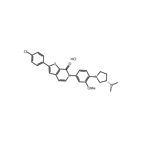 COc1cc(-n2ccc3cc(-c4ccc(Cl)cc4)sc3c2=O)ccc1N1CC[C@H](N(C)C)C1.Cl